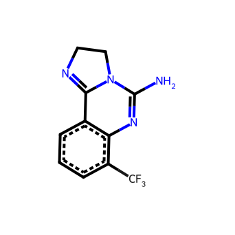 NC1=Nc2c(cccc2C(F)(F)F)C2=NCCN12